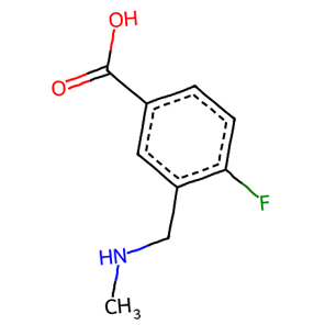 CNCc1cc(C(=O)O)ccc1F